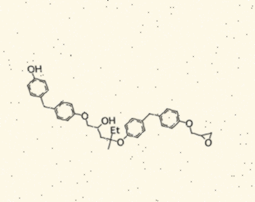 CCC(C)(CC(O)COc1ccc(Cc2ccc(O)cc2)cc1)Oc1ccc(Cc2ccc(OCC3CO3)cc2)cc1